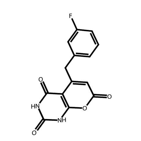 O=c1[nH]c(=O)c2c(Cc3cccc(F)c3)cc(=O)oc2[nH]1